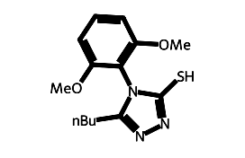 CCCCc1nnc(S)n1-c1c(OC)cccc1OC